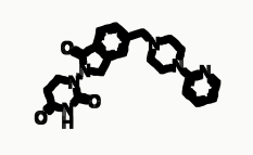 O=C1CCN(N2Cc3cc(CN4CCN(c5ccccn5)CC4)ccc3C2=O)C(=O)N1